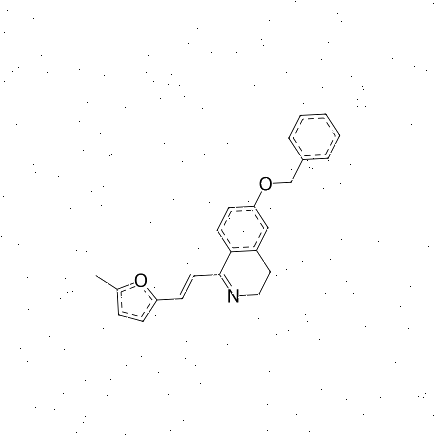 Cc1ccc(C=CC2=NCCc3cc(OCc4ccccc4)ccc32)o1